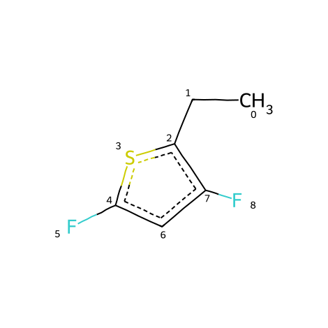 CCc1sc(F)cc1F